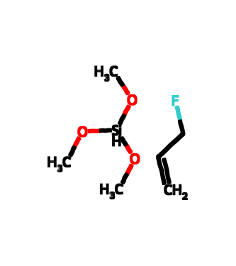 C=CCF.CO[SiH](OC)OC